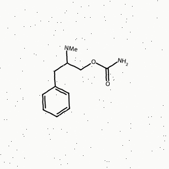 CNC(COC(N)=O)Cc1ccccc1